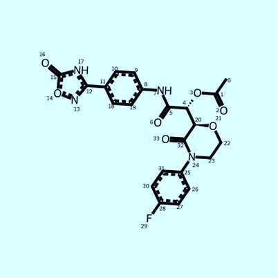 CC(=O)O[C@@H](C(=O)Nc1ccc(-c2noc(=O)[nH]2)cc1)[C@H]1OCCN(c2ccc(F)cc2)C1=O